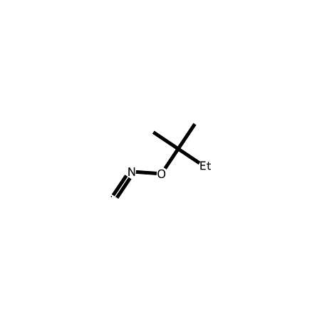 [CH]=NOC(C)(C)CC